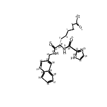 CCC(=O)CCCCC[C@H](NC(=O)c1ncc[nH]1)C(=O)NCc1cnc2ccccc2c1